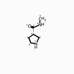 CNC(=O)[C@H]1CCNC1